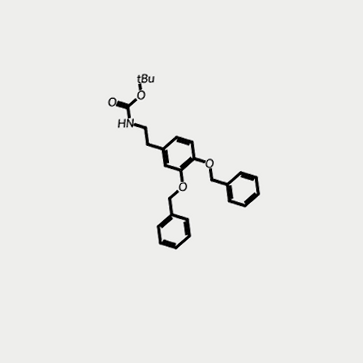 CC(C)(C)OC(=O)NCCc1ccc(OCc2ccccc2)c(OCc2ccccc2)c1